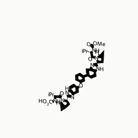 COC(=O)N[C@H](C(=O)N1[C@@H]2CC2C[C@H]1c1nc2cc(-c3cccc(Oc4ccc5[nH]c([C@@H]6CC7C[C@H]7N6C(=O)[C@@H](NC(=O)O)C(C)C)nc5c4)c3)ccc2[nH]1)C(C)C